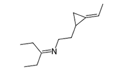 C/C=C1\CC1CCN=C(CC)CC